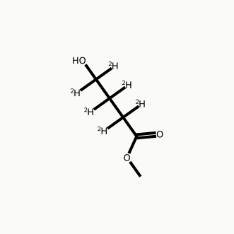 [2H]C([2H])(O)C([2H])([2H])C([2H])([2H])C(=O)OC